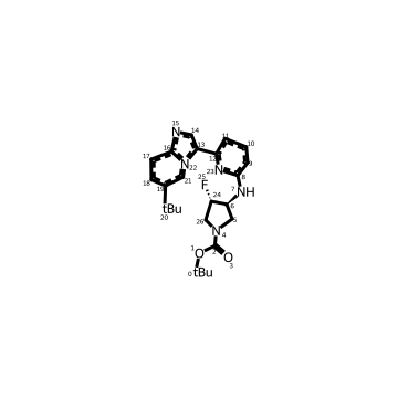 CC(C)(C)OC(=O)N1C[C@H](Nc2cccc(-c3cnc4ccc(C(C)(C)C)cn34)n2)[C@@H](F)C1